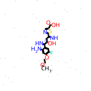 COCCOc1cc(N)c(C(=N)/C(O)=C/C(=N)c2ncc(C(=O)O)s2)cc1F